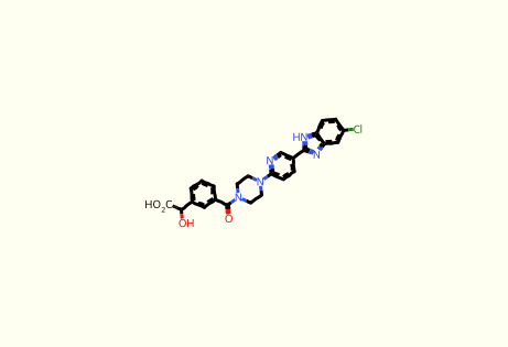 O=C(O)C(O)c1cccc(C(=O)N2CCN(c3ccc(-c4nc5cc(Cl)ccc5[nH]4)cn3)CC2)c1